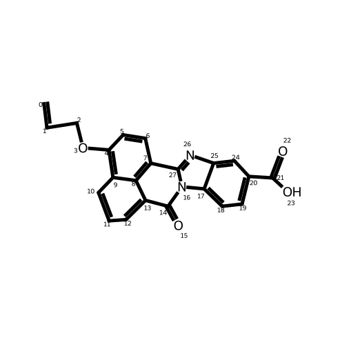 C=CCOc1ccc2c3c1cccc3c(=O)n1c3ccc(C(=O)O)cc3nc21